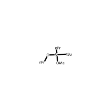 CCCO[Si](CCC)(OC)C(C)(C)C